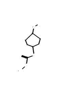 CC(C)NC(=O)NC1CCC(NC(=O)O)CC1